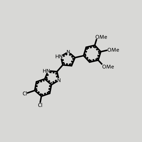 COc1cc(-c2cc(-c3nc4cc(Cl)c(Cl)cc4[nH]3)[nH]n2)cc(OC)c1OC